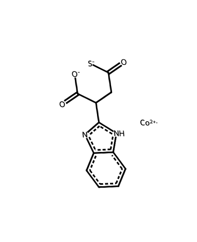 O=C([S-])CC(C(=O)[O-])c1nc2ccccc2[nH]1.[Co+2]